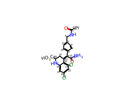 CC(C)C(=O)NCc1ccc(/C(C(N)=O)=C2\CC(C(=O)O)Nc3cc(Cl)cc(Cl)c32)cc1